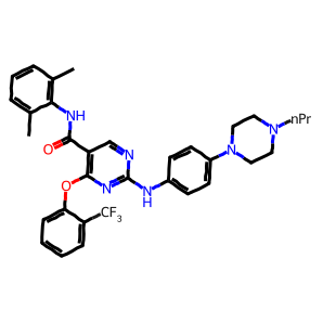 CCCN1CCN(c2ccc(Nc3ncc(C(=O)Nc4c(C)cccc4C)c(Oc4ccccc4C(F)(F)F)n3)cc2)CC1